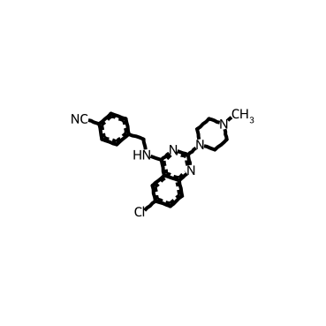 CN1CCN(c2nc(NCc3ccc(C#N)cc3)c3cc(Cl)ccc3n2)CC1